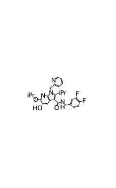 CC(C)Oc1nc2c(cc1O)c(C(=O)NCc1ccc(F)c(F)c1)c(C(C)C)n2Cc1ccccn1